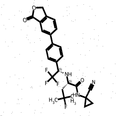 CC(C)(F)C[C@H](N[C@@H](c1ccc(-c2ccc3c(c2)C(=O)OC3)cc1)C(F)(F)F)C(=O)NC1(C#N)CC1